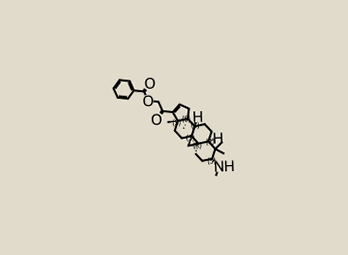 CN[C@H]1CC[C@]23C[C@]24CC[C@]2(C)C(C(=O)COC(=O)c5ccccc5)=CC[C@@]2(C)[C@@H]4CC[C@H]3C1(C)C